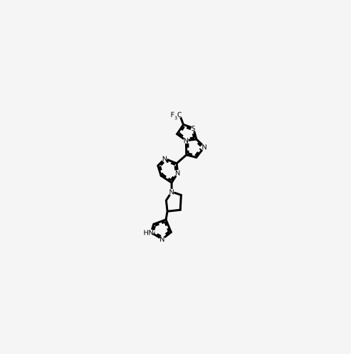 FC(F)(F)c1cn2c(-c3nccc(N4CCC(c5cn[nH]c5)C4)n3)cnc2s1